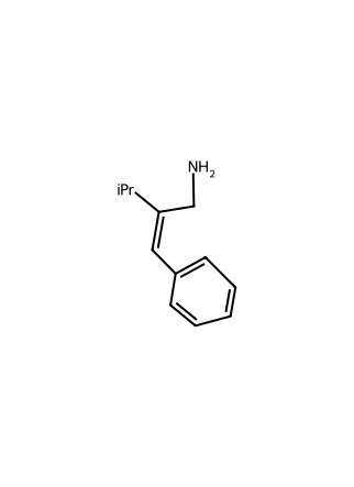 CC(C)C(=Cc1ccccc1)CN